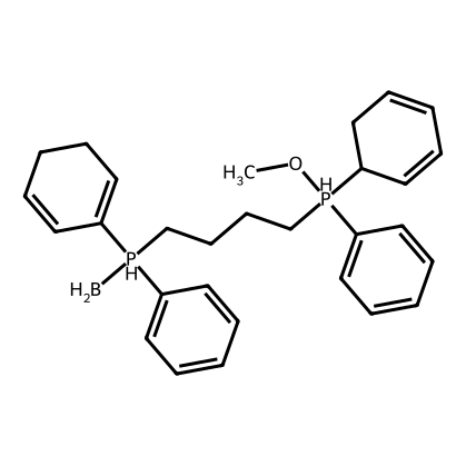 B[PH](CCCC[PH](OC)(c1ccccc1)C1C=CC=CC1)(C1=CCCC=C1)c1ccccc1